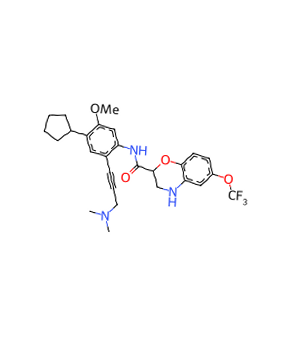 COc1cc(NC(=O)C2CNc3cc(OC(F)(F)F)ccc3O2)c(C#CCN(C)C)cc1C1CCCC1